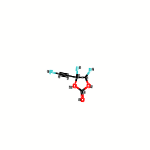 O=C1OC(F)C(F)(C#CF)O1